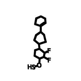 FC1C(OS)CCC(C2CCC(C3=CCCCC3)CC2)C1F